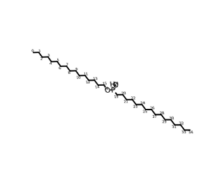 CCCCCCCCCCCCCCCCO[PH](=O)CCCCCCCCCCCCCCCC